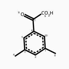 Cc1cc(C)cc(C(=O)C(=O)O)c1